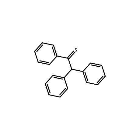 S=C(c1ccccc1)C(c1ccccc1)c1ccccc1